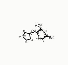 Oc1nc(Br)cnc1OC1CCNC1